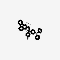 Cc1c2c(c3cccc4c3c1-c1ccccc1-4)OC(c1ccc(F)cc1)(c1ccc(N(c3ccccc3)c3ccccc3)cc1)C=C2